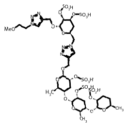 COCCn1cc(CO[C@H]2O[C@H](Cn3cc(CO[C@@H]4O[C@H](C)[C@@H](O[C@H]5O[C@H](C)[C@@H](O[C@H]6O[C@H](C)CC[C@H]6OS(=O)(=O)O)C[C@H]5OS(=O)(=O)O)C[C@H]4OS(=O)(=O)O)nn3)C[C@H](OS(=O)(=O)O)[C@@H]2OS(=O)(=O)O)nn1